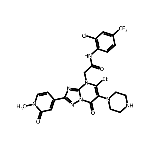 CCc1c(N2CCNCC2)c(=O)n2nc(-c3ccn(C)c(=O)c3)nc2n1CC(=O)Nc1ccc(C(F)(F)F)cc1Cl